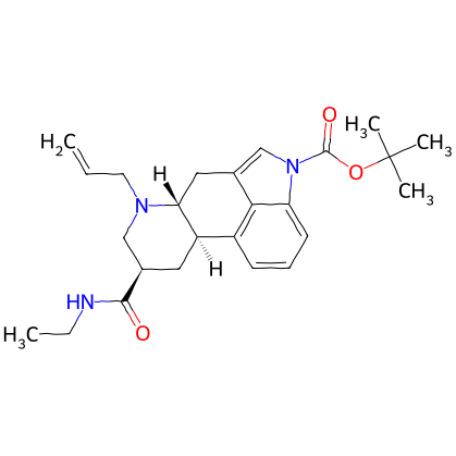 C=CCN1C[C@H](C(=O)NCC)C[C@@H]2c3cccc4c3c(cn4C(=O)OC(C)(C)C)C[C@H]21